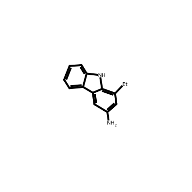 CCc1cc(N)cc2c1[nH]c1ccccc12